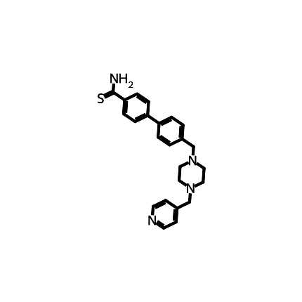 NC(=S)c1ccc(-c2ccc(CN3CCN(Cc4ccncc4)CC3)cc2)cc1